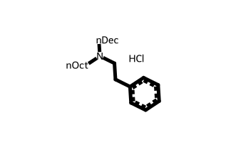 CCCCCCCCCCN(CCCCCCCC)CCc1ccccc1.Cl